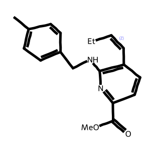 CC/C=C\c1ccc(C(=O)OC)nc1NCc1ccc(C)cc1